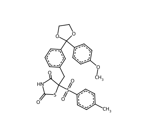 COc1ccc(C2(c3cccc(CC4(S(=O)(=O)c5ccc(C)cc5)SC(=O)NC4=O)c3)OCCO2)cc1